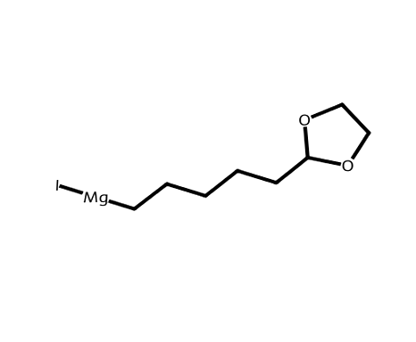 [I][Mg][CH2]CCCCC1OCCO1